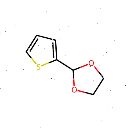 c1csc(C2OCCO2)c1